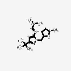 C[C@@H]1CCC(Cn2nc(C(C)(C)C)cc2N=CN(C)C)O1